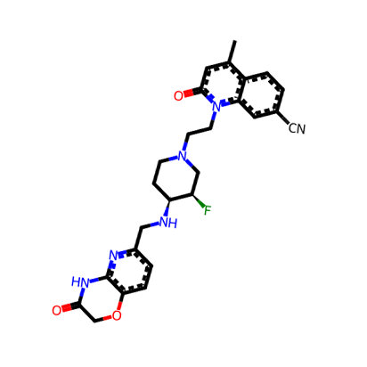 Cc1cc(=O)n(CCN2CC[C@H](NCc3ccc4c(n3)NC(=O)CO4)[C@H](F)C2)c2cc(C#N)ccc12